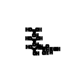 OB(O)O.OB(O)O.OB(O)O.OB(O)O.[KH].[KH].[KH]